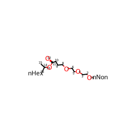 CCCCCCCCCOCCOCCOCCCC(=O)OC(C)CCCCCC